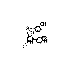 N#Cc1cccc(CS(=O)(=O)Cc2cc(N)nc(C3=Cc4cc[nH]c4CC3)n2)c1